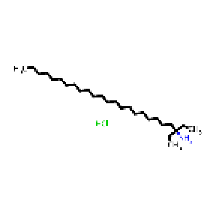 CCCCCCCCCCCCCCCCCCCCCCC(N)(CC)CC.Cl